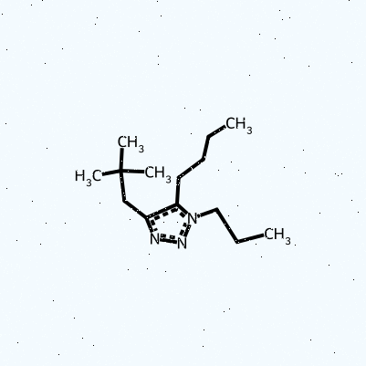 CCCCc1c(CC(C)(C)C)nnn1CCC